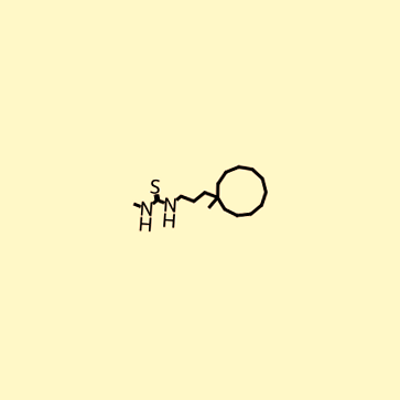 CNC(=S)NCCCC1(C)CCCCCCCCCC1